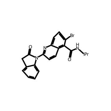 CC(C)NC(=O)c1c(Br)ccc2nc(N3C(=O)Cc4ccccc43)ccc12